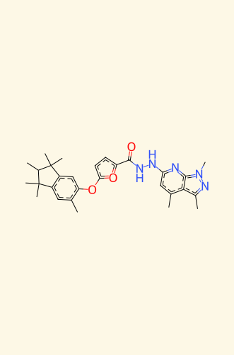 Cc1cc2c(cc1Oc1ccc(C(=O)NNc3cc(C)c4c(C)nn(C)c4n3)o1)C(C)(C)C(C)C2(C)C